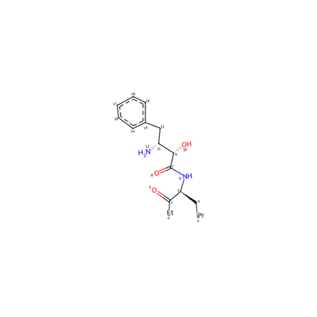 CCC(=O)[C@H](CC(C)C)NC(=O)[C@@H](O)[C@H](N)Cc1ccccc1